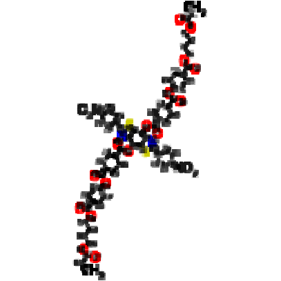 C=CC(=O)OCCCCOC(=O)c1ccc(OC(=O)C2CCC(C(=O)Oc3c4nc(-c5ccc([N+](=O)[O-])cc5)sc4c(OC(=O)C4CCC(C(=O)Oc5ccc(C(=O)OCCCCOC(=O)C=C)cc5)CC4)c4nc(-c5ccc([N+](=O)[O-])cc5)sc34)CC2)cc1